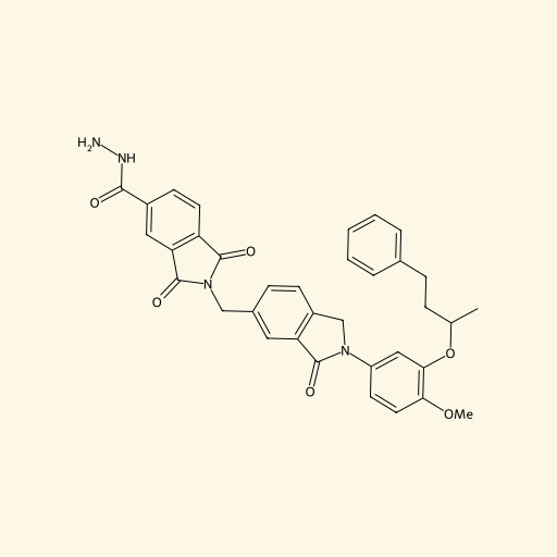 COc1ccc(N2Cc3ccc(CN4C(=O)c5ccc(C(=O)NN)cc5C4=O)cc3C2=O)cc1OC(C)CCc1ccccc1